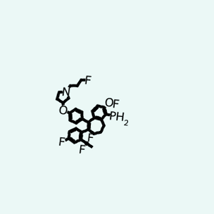 CC(F)(F)c1cc(F)ccc1C1=C(c2ccc(OC3CCN(CCCF)C3)cc2)c2ccc(OF)c(P)c2CCC1